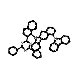 c1ccc(-c2nc(-c3ccccc3)nc(-c3ccc4ccccc4c3-n3c4ccccc4c4cc5c(-n6c7ccccc7c7ccccc76)cccc5cc43)n2)cc1